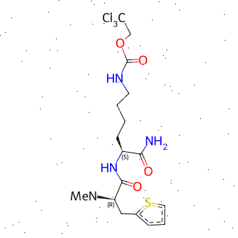 CN[C@H](Cc1cccs1)C(=O)N[C@@H](CCCCNC(=O)OCC(Cl)(Cl)Cl)C(N)=O